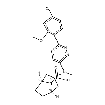 COc1cc(Cl)ccc1-c1ccc(N(C)[C@@H]2C[C@H]3CC[C@@H](C2)N3C(=O)O)nn1